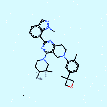 CO[C@H]1CCN(c2nc(-c3cccc4cnn(C)c34)nc3c2CN(c2cc(C4(C)COC4)ccc2C)CC3)CC1(C)C